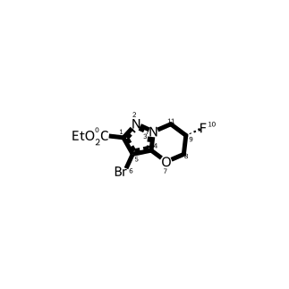 CCOC(=O)c1nn2c(c1Br)OC[C@@H](F)C2